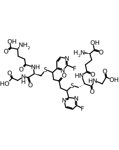 N[C@H](CCC(=O)N[C@@H](CSC(CC(=O)CC(SC[C@H](NC(=O)CC[C@H](N)C(=O)O)C(=O)NCC(=O)O)c1ccnc(F)n1)c1nccc(F)n1)C(=O)NCC(=O)O)C(=O)O